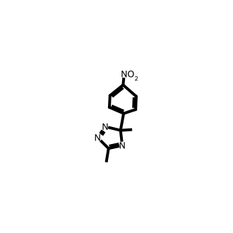 CC1=NC(C)(c2ccc([N+](=O)[O-])cc2)N=N1